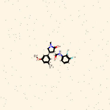 CCOc1cc([C@H]2CN(C)C(=O)[C@@H]2C(=O)Nc2cccc(F)c2F)cc(C(F)(F)F)c1